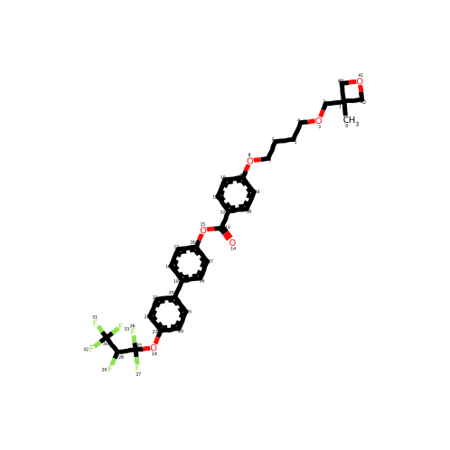 CC1(COCCCCOc2ccc(C(=O)Oc3ccc(-c4ccc(OC(F)(F)C(F)C(F)(F)F)cc4)cc3)cc2)COC1